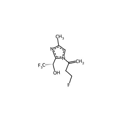 C=C(CCF)n1cc(C)nc1[C@H](O)C(F)(F)F